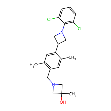 Cc1cc(C2CN(c3c(Cl)cccc3Cl)C2)c(C)cc1CN1CC(C)(O)C1